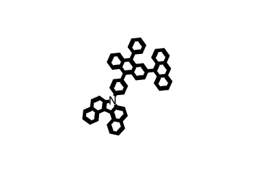 c1ccc(-c2c3ccccc3c(-c3ccc(-n4c5ccc6ccccc6c5c5c6ccccc6ccc54)cc3)c3ccc(-c4c5ccccc5cc5ccccc45)cc23)cc1